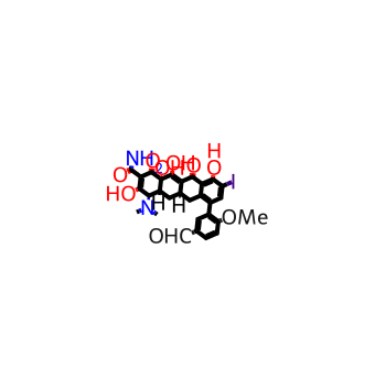 COc1ccc(C=O)cc1-c1cc(I)c(O)c2c1C[C@H]1C[C@@H]3[C@@H](N(C)C)C(O)=C(C(N)=O)C(=O)[C@@]3(O)C(O)=C1C2=O